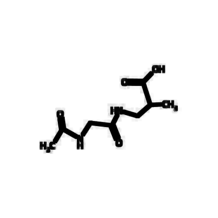 CC(=O)NCC(=O)NCC(C)C(=O)O